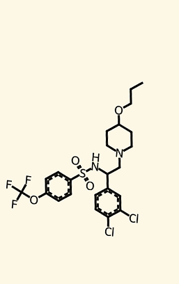 CCCOC1CCN(CC(NS(=O)(=O)c2ccc(OC(F)(F)F)cc2)c2ccc(Cl)c(Cl)c2)CC1